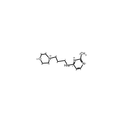 Cc1nccc(NCCCN2CCOCC2)n1